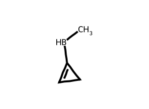 CBC1=CC1